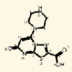 O=C(O)c1nn2c(N3CCNCC3)cc(=O)nc2s1